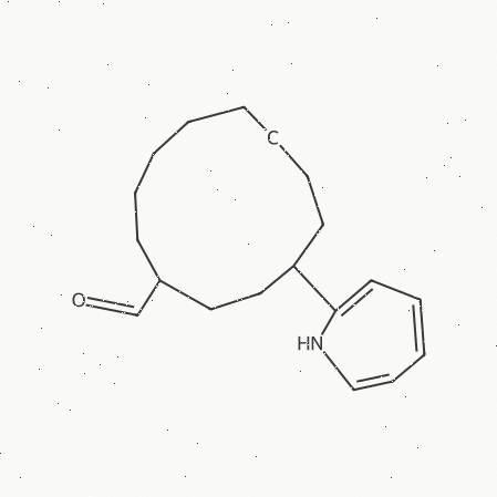 O=CC1CCCCCCCCC(C2=CC=CC=CN2)CC1